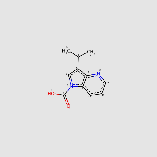 CC(C)c1cn(C(=O)O)c2cccnc12